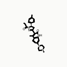 CCC(=O)N1N=C(c2c(C)c3ccc(N4CCN(C)CC4)cc3[nH]c2=O)C[C@@H]1c1ccc(C)cc1